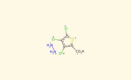 NN.O=C(O)c1sc(Cl)c(Cl)c1Cl